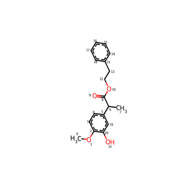 COc1ccc(C(C)C(=O)OCCc2ccccc2)cc1O